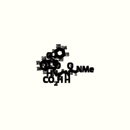 CNCC(=O)NCC(NC(=O)C1C2CCC(CC2)N1S(=O)(=O)c1ccccc1)C(=O)O